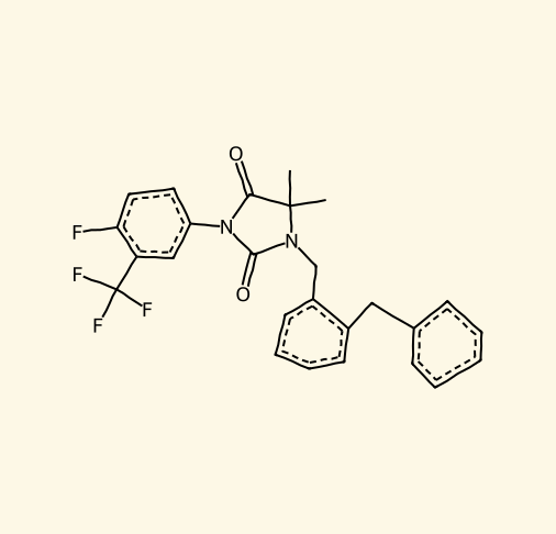 CC1(C)C(=O)N(c2ccc(F)c(C(F)(F)F)c2)C(=O)N1Cc1ccccc1Cc1ccccc1